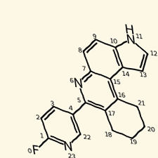 Fc1ccc(-c2nc3ccc4[nH]ccc4c3c3c2CCCC3)cn1